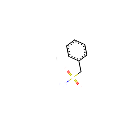 NS(=O)(=O)Cc1ccccc1.[K]